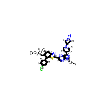 CCOC(=O)Cc1c(C)cc2nc(-c3cnc4c(n3)c(C3CCN(C5CNC5)CC3)nn4C)sc2c1-c1ccc(Cl)cc1